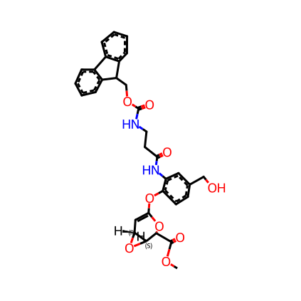 COC(=O)C1OC(Oc2ccc(CO)cc2NC(=O)CCNC(=O)OCC2c3ccccc3-c3ccccc32)=C[C@H]2O[C@H]12